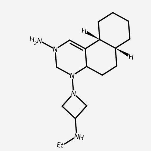 CCNC1CN(N2CN(N)C=C3C2CC[C@H]2CCCC[C@@H]32)C1